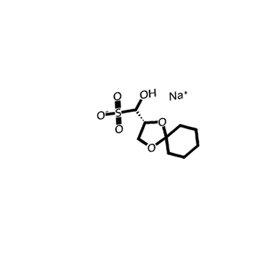 O=S(=O)([O-])C(O)[C@H]1COC2(CCCCC2)O1.[Na+]